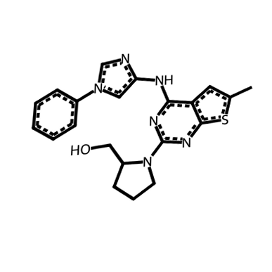 Cc1cc2c(Nc3cn(-c4ccccc4)cn3)nc(N3CCCC3CO)nc2s1